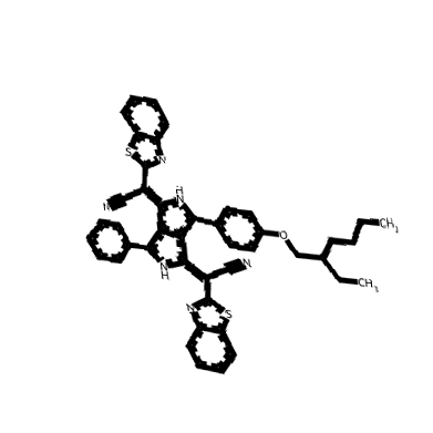 CCCCC(CC)COc1ccc(-c2[nH]/c(=C(/C#N)c3nc4ccccc4s3)c3c(-c4ccccc4)[nH]/c(=C(/C#N)c4nc5ccccc5s4)c23)cc1